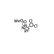 COC(=O)Cc1nc(C(C)C)c(Sc2cc(Cl)cc(Cl)c2)n1C